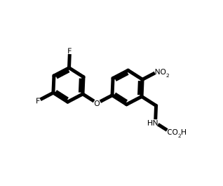 O=C(O)NCc1cc(Oc2cc(F)cc(F)c2)ccc1[N+](=O)[O-]